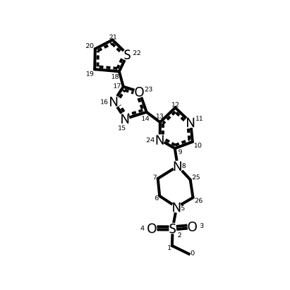 CCS(=O)(=O)N1CCN(c2cncc(-c3nnc(-c4cccs4)o3)n2)CC1